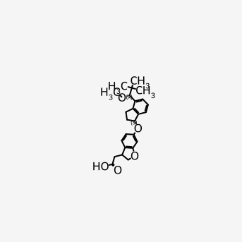 CO[C@@H](c1cccc2c1CC[C@@H]2Oc1ccc2c(c1)OCC2CC(=O)O)C(C)(C)C